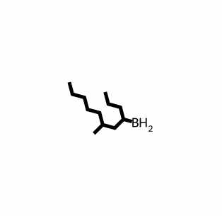 BC(CCC)CC(C)CCCCC